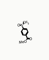 COC(=O)c1ccc([S+](C)[O-])cc1